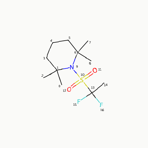 CC1(C)CCCC(C)(C)N1S(=O)(=O)C(C)(F)F